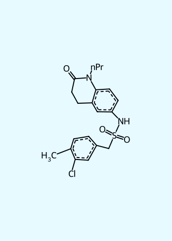 CCCN1C(=O)CCc2cc(NS(=O)(=O)Cc3ccc(C)c(Cl)c3)ccc21